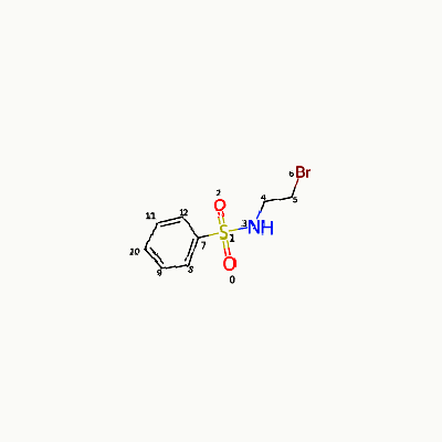 O=S(=O)(NCCBr)c1ccccc1